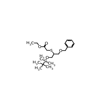 CCOC(=O)CSC(COCc1ccccc1)CO[Si](C)(C)C(C)(C)C